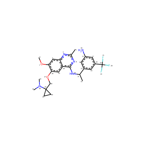 COc1cc2nc(C)nc(NC(C)c3cc(N)cc(C(F)(F)F)c3)c2cc1OCC1(N(C)C)CC1